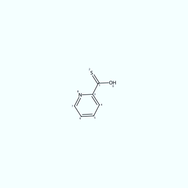 OC(=S)c1ccccn1